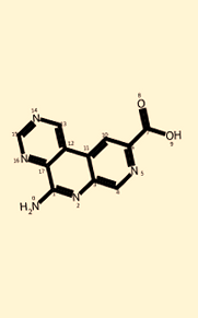 Nc1nc2cnc(C(=O)O)cc2c2cncnc12